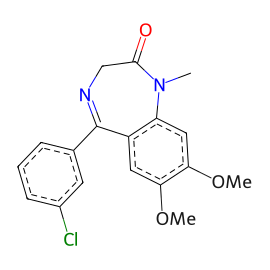 COc1cc2c(cc1OC)N(C)C(=O)CN=C2c1cccc(Cl)c1